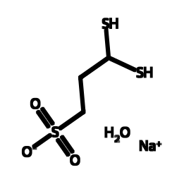 O.O=S(=O)([O-])CCC(S)S.[Na+]